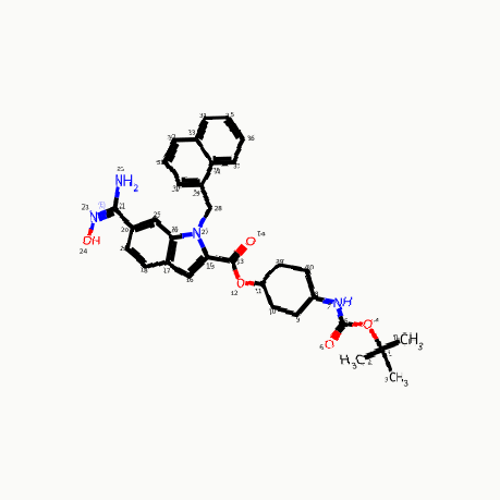 CC(C)(C)OC(=O)NC1CCC(OC(=O)c2cc3ccc(/C(N)=N\O)cc3n2Cc2cccc3ccccc23)CC1